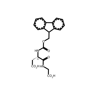 O=C(O)CNC(=O)[C@H](CC(=O)O)NC(=O)OCC1c2ccccc2-c2ccccc21